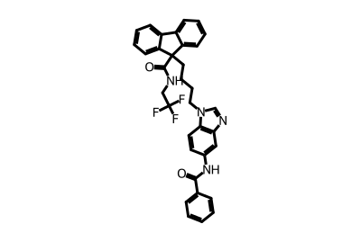 O=C(Nc1ccc2c(c1)ncn2CCCCC1(C(=O)NCC(F)(F)F)c2ccccc2-c2ccccc21)c1ccccc1